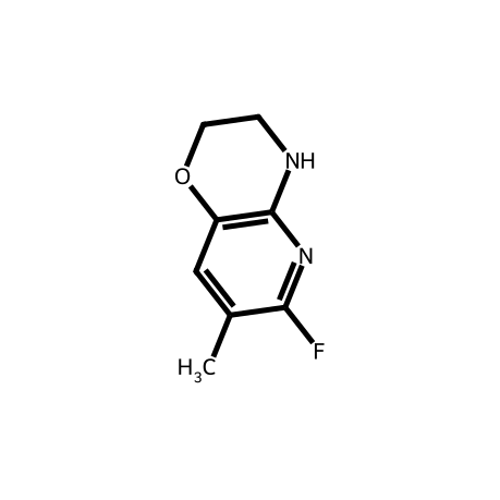 Cc1cc2c(nc1F)NCCO2